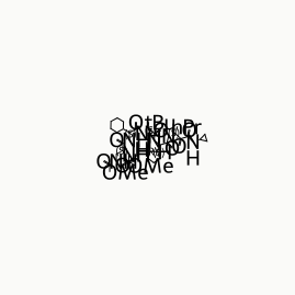 CCC[C@H](NC(=O)C1[C@H]2CCC[C@H]2CN1C(=O)[C@@H](NC(=O)[C@@H](NC(=O)[C@H](CNC(=O)OC)NC(=O)OC)C1CCCCC1)C(C)(C)C)C(=O)C(=O)NC1CC1